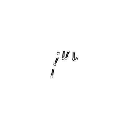 [C].[C]=O.[C]=O.[C]=O.[C]=O.[C]=O.[W]